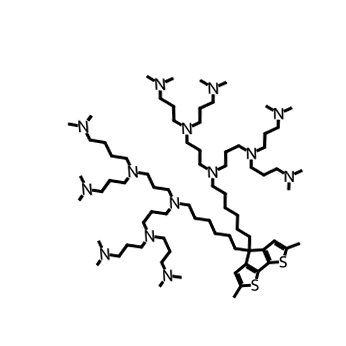 Cc1cc2c(s1)-c1sc(C)cc1C2(CCCCCCN(CCCN(CCCCN(C)C)CCCN(C)C)CCCN(CCCN(C)C)CCCN(C)C)CCCCCCN(CCCN(CCCN(C)C)CCCN(C)C)CCCN(CCCN(C)C)CCCN(C)C